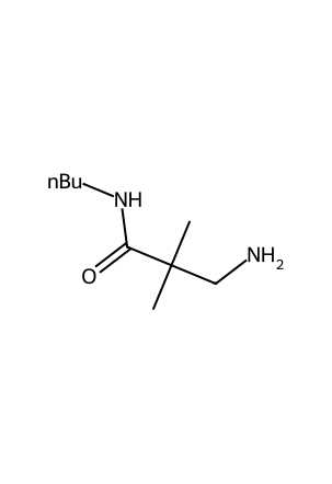 CCCCNC(=O)C(C)(C)CN